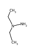 CCN(N)CC